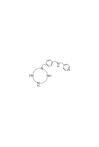 c1cc(CNCc2ccc(CN3CCCNCCNCCCNCC3)cc2)ccn1